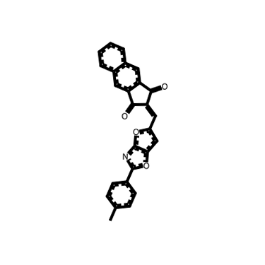 Cc1ccc(-c2nc3oc(C=C4C(=O)c5cc6ccccc6cc5C4=O)cc3o2)cc1